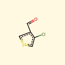 O=[C]c1cscc1Cl